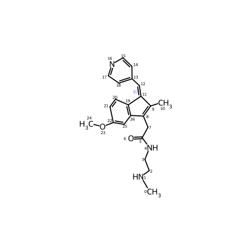 CNCCNC(=O)CC1=C(C)/C(=C/c2ccncc2)c2ccc(OC)cc21